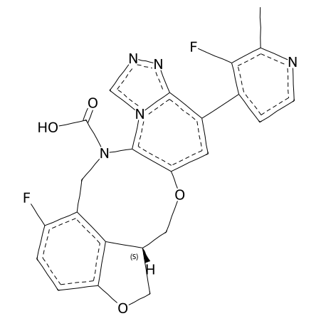 Cc1nccc(-c2cc3c(n4cnnc24)N(C(=O)O)Cc2c(F)ccc4c2[C@@H](CO4)CO3)c1F